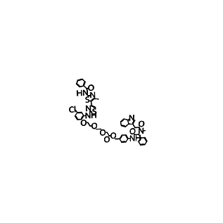 Cc1nc(NC(=O)c2ccccc2)sc1-c1csc(Nc2cc(Cl)ccc2OCCOCCOCC(=O)OCc2ccc(NC(=O)C(c3ccccc3)N(C)C(=O)CC3=CN=C4C=CC=CC34)cc2)n1